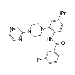 CC(C)c1ccc(NC(=O)c2cccc(F)c2)c(N2CCN(c3cnccn3)CC2)c1